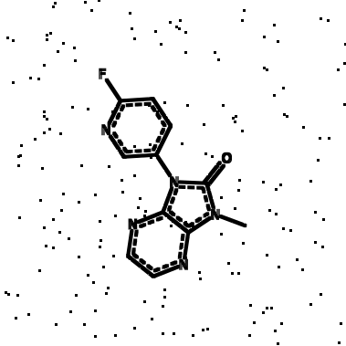 Cn1c(=O)n(-c2ccc(F)nc2)c2nccnc21